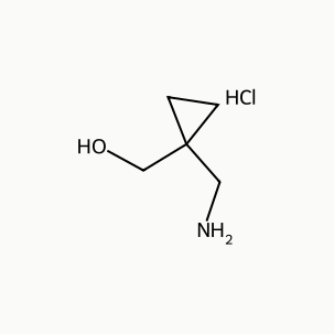 Cl.NCC1(CO)CC1